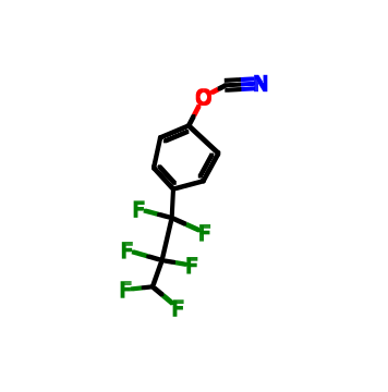 N#COc1ccc(C(F)(F)C(F)(F)C(F)F)cc1